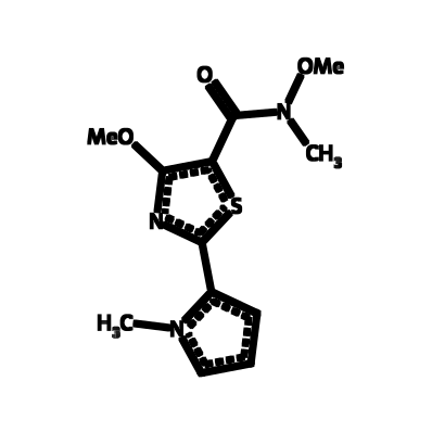 COc1nc(-c2cccn2C)sc1C(=O)N(C)OC